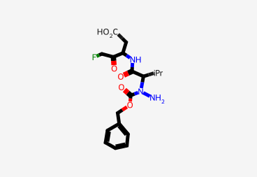 CC(C)C(C(=O)NC(CC(=O)O)C(=O)CF)N(N)C(=O)OCc1ccccc1